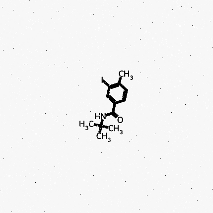 Cc1ccc(C(=O)NC(C)(C)C)cc1I